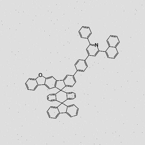 c1ccc(-c2cc(-c3ccc(-c4ccc5c(c4)-c4cc6oc7ccccc7c6cc4C54c5ccccc5C5(c6ccccc6-c6ccccc65)c5ccccc54)cc3)cc(-c3cccc4ccccc34)n2)cc1